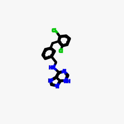 Clc1cccc(Cl)c1Cc1cccc(CNc2nc[nH]c3ncnc2-3)c1